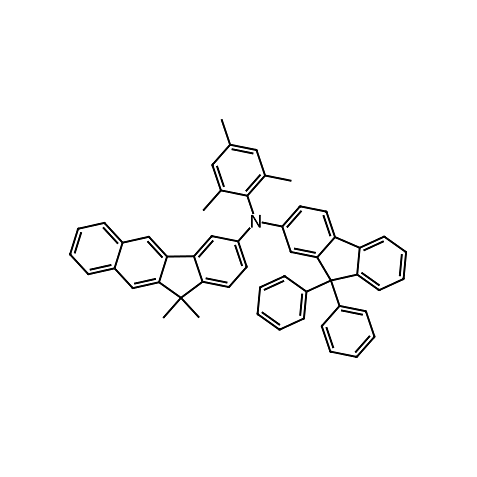 Cc1cc(C)c(N(c2ccc3c(c2)-c2cc4ccccc4cc2C3(C)C)c2ccc3c(c2)C(c2ccccc2)(c2ccccc2)c2ccccc2-3)c(C)c1